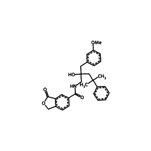 COc1cccc(CC(O)(CNC(=O)c2ccc3c(c2)C(=O)OC3)CC(C)(C)c2ccccc2)c1